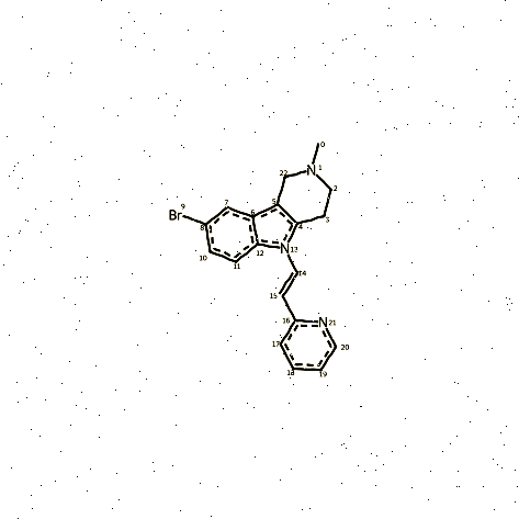 CN1CCc2c(c3cc(Br)ccc3n2/C=C/c2ccccn2)C1